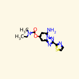 CCN(C)C(=O)Oc1cc(N)n2nc(-c3nccs3)nc2c1